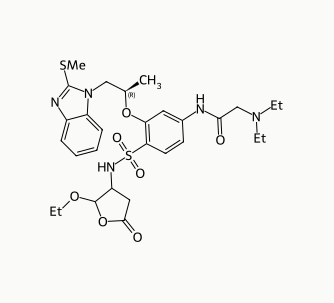 CCOC1OC(=O)CC1NS(=O)(=O)c1ccc(NC(=O)CN(CC)CC)cc1O[C@H](C)Cn1c(SC)nc2ccccc21